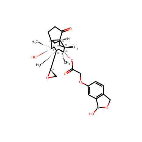 C[C@@H]1CC[C@@]23CCC(=O)[C@H]2[C@]1(C)[C@H](OC(=O)COc1ccc2c(c1)B(O)OC2)C[C@@](C)([C@H]1CO1)[C@@H](O)[C@@H]3C